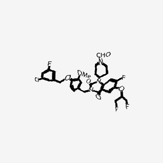 COc1cc(Cn2c(=O)c3cc(OC(CF)CF)c(F)cc3n(C3CCN(C=O)CC3)c2=O)ccc1OCc1cc(F)cc(Cl)c1